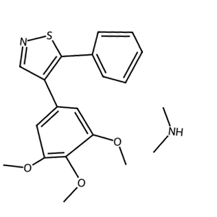 CNC.COc1cc(-c2cnsc2-c2ccccc2)cc(OC)c1OC